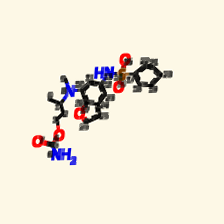 CC(CCOC(N)=O)N(C)c1cc(NS(=O)(=O)c2ccccc2)cc2ccoc12